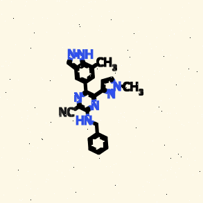 Cc1cc(-c2nc(C#N)c(NCc3ccccc3)nc2-c2ccn(C)n2)cc2cn[nH]c12